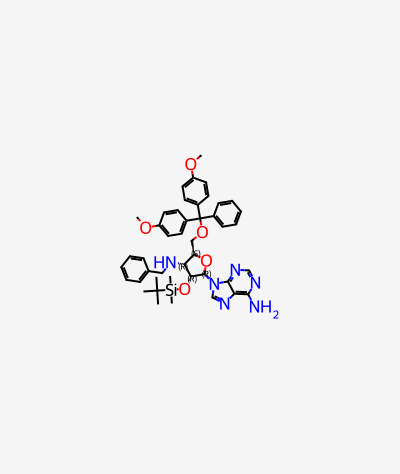 COc1ccc(C(OC[C@H]2O[C@@H](n3cnc4c(N)ncnc43)[C@H](O[Si](C)(C)C(C)(C)C)[C@@H]2NCc2ccccc2)(c2ccccc2)c2ccc(OC)cc2)cc1